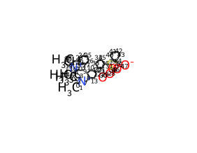 CC[N+](CC)(CC)Cc1ccccc1.CC[N+](CC)(CC)Cc1ccccc1.O=C([O-])c1ccccc1[S+]([O-])c1ccccc1C(=O)[O-]